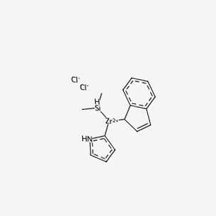 C[SiH](C)[Zr+2]([c]1ccc[nH]1)[CH]1C=Cc2ccccc21.[Cl-].[Cl-]